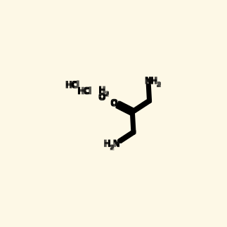 Cl.Cl.NCC(=O)CN.O